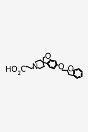 O=C(O)CCN1CCC2(CC1)COc1cc(OCC3Cc4ccccc4O3)ccc12